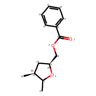 CC1O[C@H](COC(=O)c2ccccc2)C[C@@H]1C